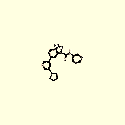 O=C(Nc1cccnc1)c1n[nH]c2ccc(-c3cncc(N4CCCC4)c3)cc12